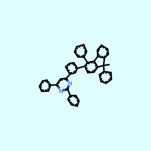 CC1(c2ccccc2)c2ccccc2-c2c1ccc(-c1cccc(-c3cc(-c4ccccc4)nc(-c4ccccc4)n3)c1)c2-c1ccccc1